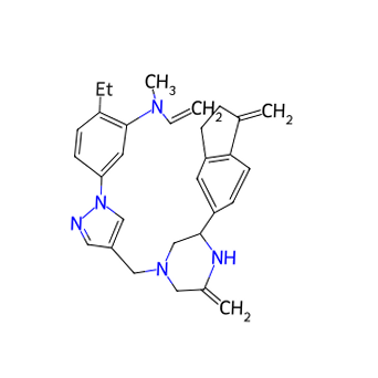 C=CN(C)c1cc(-n2cc(CN3CC(=C)NC(c4ccc5c(c4)CCC5=C)C3)cn2)ccc1CC